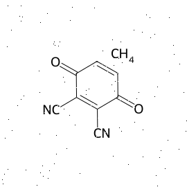 C.N#CC1=C(C#N)C(=O)C=CC1=O